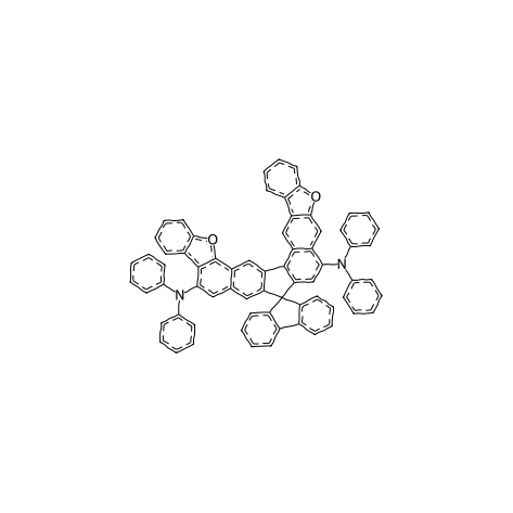 c1ccc(N(c2ccccc2)c2cc3c(c4cc5c(cc24)oc2ccccc25)-c2cc4c(cc2C32c3ccccc3-c3ccccc32)cc(N(c2ccccc2)c2ccccc2)c2c3ccccc3oc42)cc1